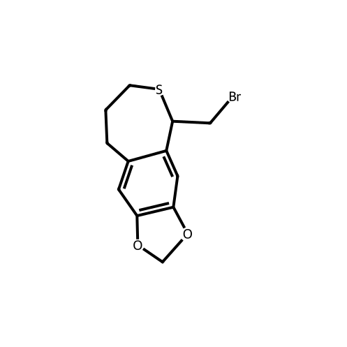 BrCC1SCCCc2cc3c(cc21)OCO3